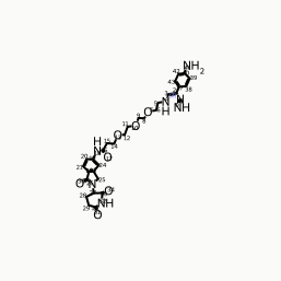 N=N/C(=C\NCCOCCOCCOCCC(=O)Nc1ccc2c(c1)CN(C1CCC(=O)NC1=O)C2=O)c1ccc(N)cc1